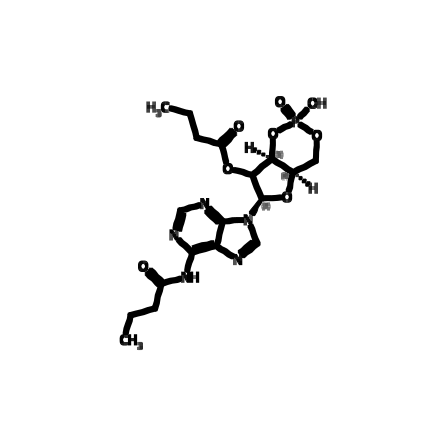 CCCC(=O)Nc1ncnc2c1ncn2[C@@H]1O[C@@H]2COP(=O)(O)O[C@@H]2C1OC(=O)CCC